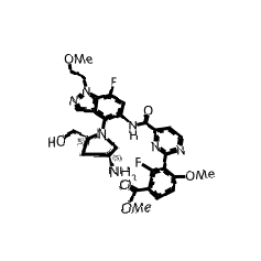 COCCn1ncc2c(N3C[C@@H](N)C[C@H]3CO)c(NC(=O)c3ccnc(-c4c(OC)ccc(C(=O)OC)c4F)n3)cc(F)c21